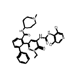 CCn1nc(-c2c(C(=O)NC3CCN(C)CC3)cccc2-c2ccccc2)cc(NC(=O)Nc2c(Cl)cncc2Cl)c1=O